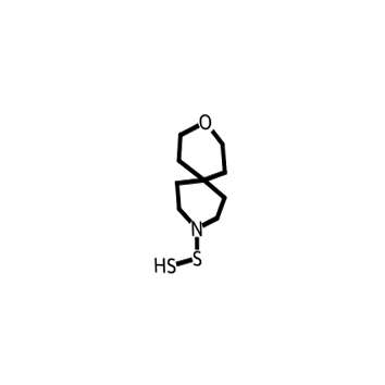 SSN1CCC2(CCOCC2)CC1